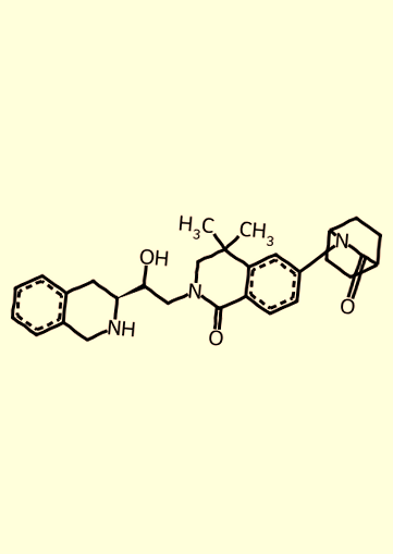 CC1(C)CN(CC(O)[C@@H]2Cc3ccccc3CN2)C(=O)c2ccc(N3C(=O)C4CCC3CC4)cc21